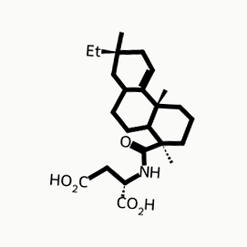 CC[C@@]1(C)CC=C2C(CCC3[C@](C)(C(=O)N[C@@H](CC(=O)O)C(=O)O)CCC[C@@]23C)C1